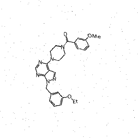 CCOc1cccc(Cn2ncc3c(N4CCN(C(=O)c5cccc(OC)c5)CC4)ncnc32)c1